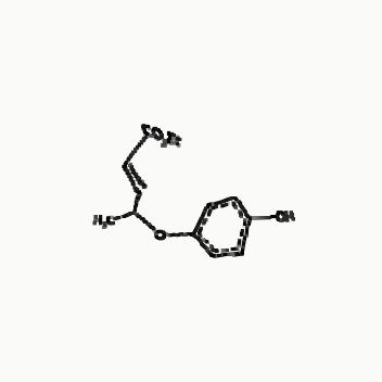 CCOC(=O)C=CC(C)Oc1ccc(O)cc1